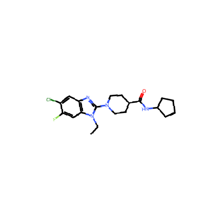 CCn1c(N2CCC(C(=O)NC3CCCC3)CC2)nc2cc(Cl)c(F)cc21